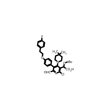 CC1(C)CCN(c2c(-c3ccc(OCCc4ccc(F)cc4)cc3)c(C=O)nc(Cl)c2C(OC(C)(C)C)C(=O)O)CC1